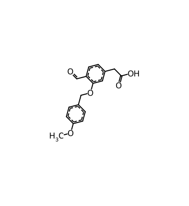 COc1ccc(COc2cc(CC(=O)O)ccc2C=O)cc1